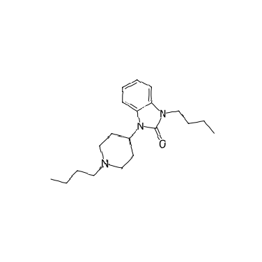 CCCCN1CCC(n2c(=O)n(CCCC)c3ccccc32)CC1